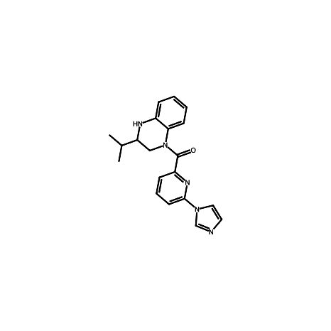 CC(C)C1CN(C(=O)c2cccc(-n3ccnc3)n2)c2ccccc2N1